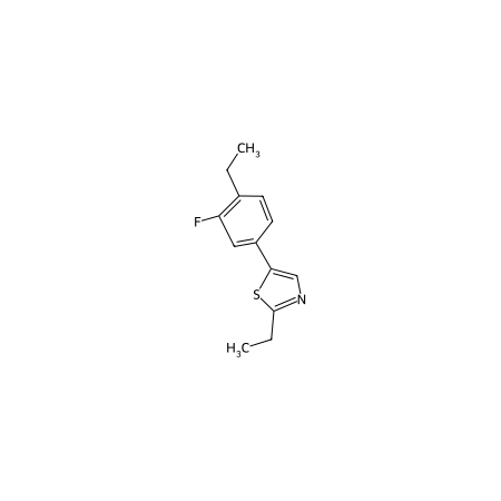 CCc1ncc(-c2ccc(CC)c(F)c2)s1